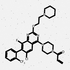 C=CC(=O)N1CCN(c2nc(OCCN3CCCCC3)nc3c(F)c(-c4ccccc4C(F)(F)F)c(Cl)cc23)CC1